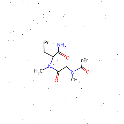 CCCC(=O)N(C)CC(=O)N(C)C(CC(C)C)C(N)=O